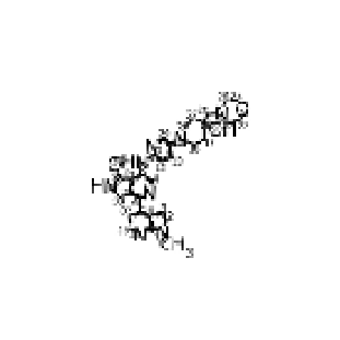 Cn1ccc2c(-c3ncc(Nc4ccc(N5CCC(O)(CN6CCOCC6)CC5)cn4)c4c3CNC4=O)ccnc21